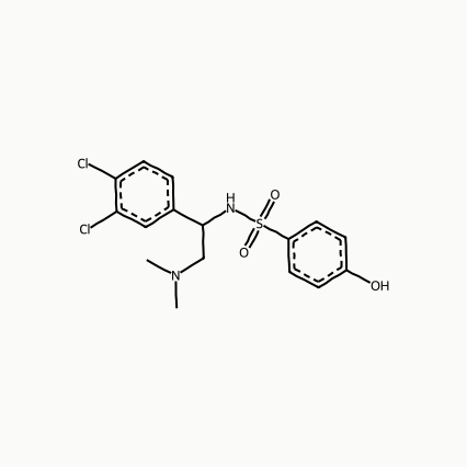 CN(C)CC(NS(=O)(=O)c1ccc(O)cc1)c1ccc(Cl)c(Cl)c1